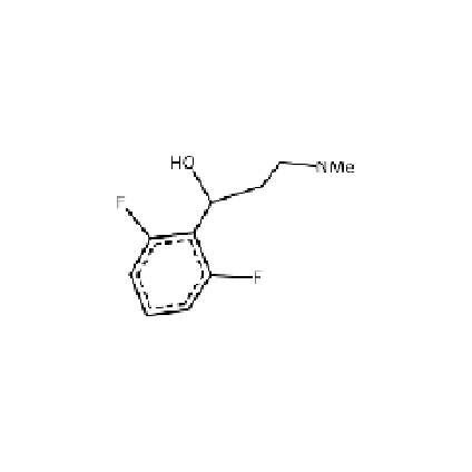 CNCCC(O)c1c(F)cccc1F